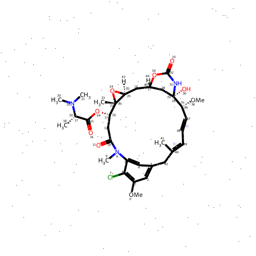 COc1cc2cc(c1Cl)N(C)C(=O)C[C@H](OC(=O)[C@H](C)N(C)C)[C@]1(C)O[C@H]1C[C@@H]1C[C@@](O)(NC(=O)O1)[C@H](OC)/C=C/C=C(\C)C2